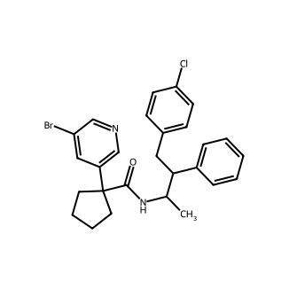 CC(NC(=O)C1(c2cncc(Br)c2)CCCC1)C(Cc1ccc(Cl)cc1)c1ccccc1